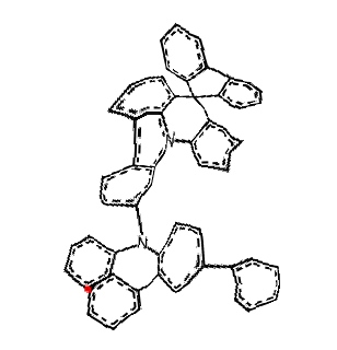 c1ccc(-c2ccc(N(c3ccccc3)c3ccc4c5cccc6c5n(c4c3)-c3ccccc3C63c4ccccc4-c4ccccc43)c(-c3ccccc3)c2)cc1